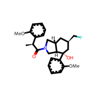 COc1ccccc1[C@H](C)C(=O)N1C[C@@H]2C[C@@H](CF)C[C@@](O)(c3ccccc3OC)[C@@H]2C1